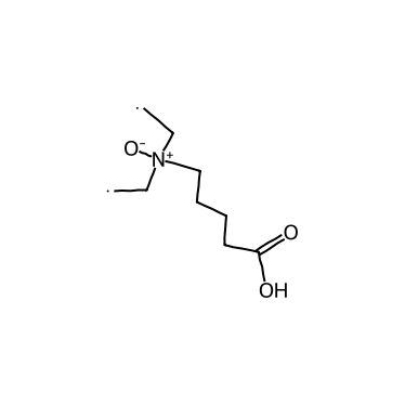 [CH2]C[N+]([O-])(C[CH2])CCCCC(=O)O